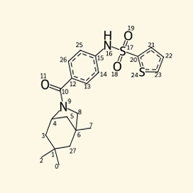 CC1(C)CC2CC(C)(CN2C(=O)c2ccc(NS(=O)(=O)c3cccs3)cc2)C1